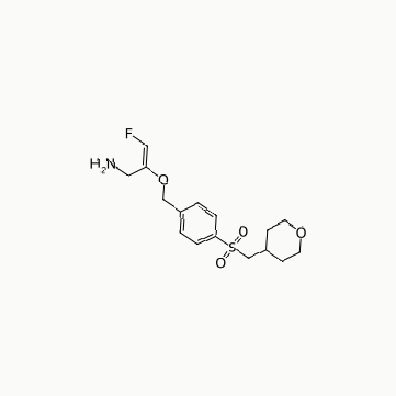 NC/C(=C\F)OCc1ccc(S(=O)(=O)CC2CCOCC2)cc1